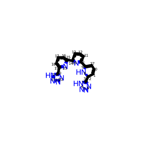 C1=CC(c2nnn[nH]2)NC(c2cccc(-c3cccc(-c4nnn[nH]4)n3)n2)=C1